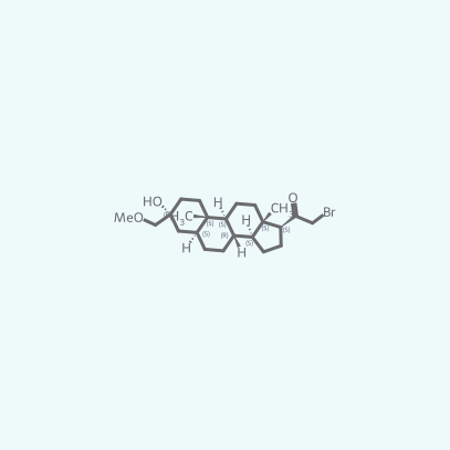 COC[C@@]1(O)CC[C@@]2(C)[C@@H](CC[C@@H]3[C@@H]2CC[C@]2(C)[C@@H](C(=O)CBr)CC[C@@H]32)C1